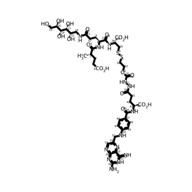 C[C@@H](CCC(=O)O)C(=O)N[C@@H](CCC(=O)NC[C@H](O)[C@@H](O)[C@H](O)[C@H](O)CO)C(=O)N[C@@H](CSSCCOC(=O)NNC(=O)CC[C@H](NC(=O)c1ccc(NCc2cnc3nc(N)[nH]c(=N)c3n2)cc1)C(=O)O)C(=O)O